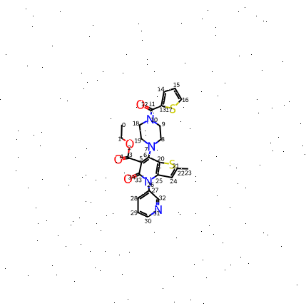 CCOC(=O)c1c(N2CCN(C(=O)c3cccs3)CC2)c2sc(C)cc2n(-c2cccnc2)c1=O